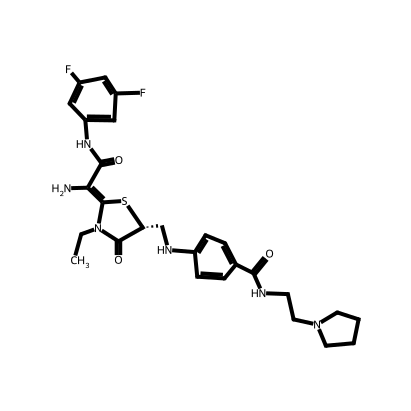 CCN1C(=O)[C@@H](CNc2ccc(C(=O)NCCN3CCCC3)cc2)S/C1=C(/N)C(=O)Nc1cc(F)cc(F)c1